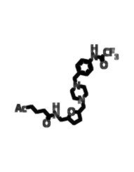 CC(=O)CCCC(=O)NCC1CCC(CN2CCN(Cc3ccc(NC(=O)C(F)(F)F)cc3)CC2)O1